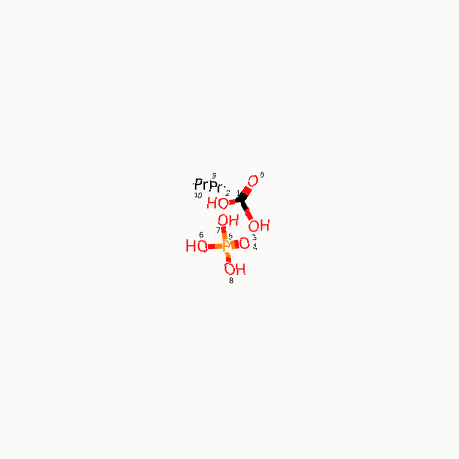 O=C(O)O.O=P(O)(O)O.[Pr].[Pr]